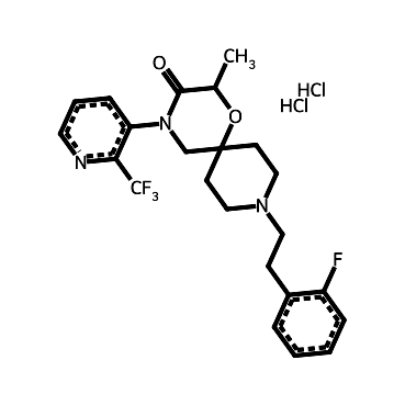 CC1OC2(CCN(CCc3ccccc3F)CC2)CN(c2cccnc2C(F)(F)F)C1=O.Cl.Cl